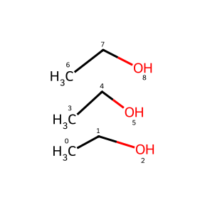 CCO.CCO.CCO